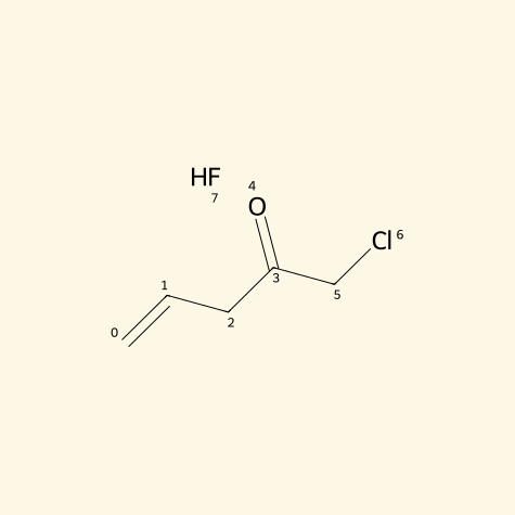 C=CCC(=O)CCl.F